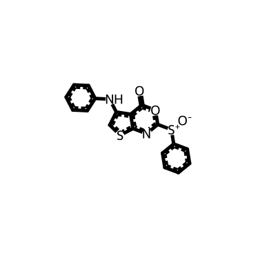 O=c1oc([S+]([O-])c2ccccc2)nc2scc(Nc3ccccc3)c12